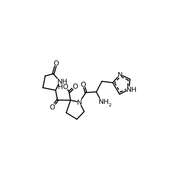 NC(Cc1c[nH]cn1)C(=O)N1CCCC1(C(=O)O)C(=O)C1CCC(=O)N1